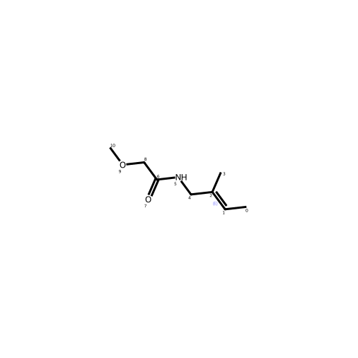 C/C=C(\C)CNC(=O)COC